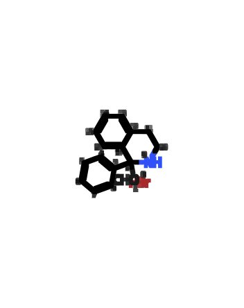 Br.O=CC1(c2ccccc2)NCCc2ccccc21